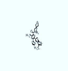 Cc1cnc2ccc(-c3nc(C(=O)NCC4(C)CCOC4)c(N)nc3-c3ncco3)cn12